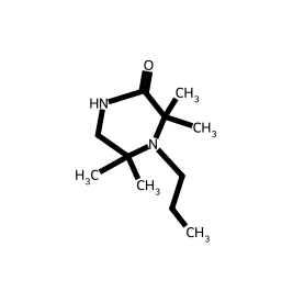 CCCN1C(C)(C)CNC(=O)C1(C)C